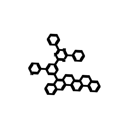 c1ccc(-c2nc(-c3ccccc3)nc(-c3cc(-c4cccnc4)cc(-c4c5ccccc5cc5c4ccc4c5ccc5c6ccccc6ccc54)c3)n2)cc1